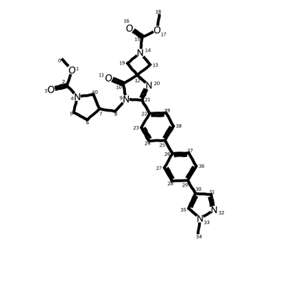 COC(=O)N1CCC(CN2C(=O)C3(CN(C(=O)OC)C3)N=C2c2ccc(-c3ccc(-c4cnn(C)c4)cc3)cc2)C1